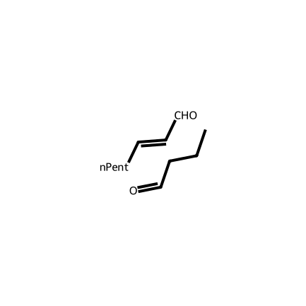 CCCC=O.CCCCCC=CC=O